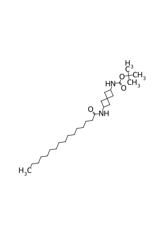 CCCCCCCCCCCCCCCC(=O)NC1CC2(C1)CC(NC(=O)OC(C)(C)C)C2